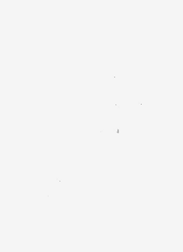 C/N=C/c1ccc(C(=O)Nc2nc(-c3ccccn3)ns2)cc1